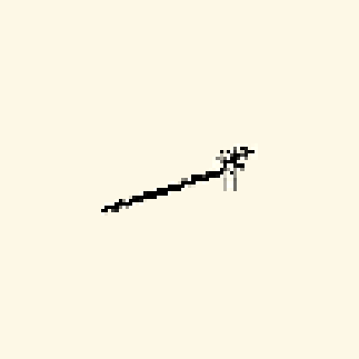 CCCCCC=CCCC=CC=CCC=CCCCC(=O)NC(C)C(=O)O